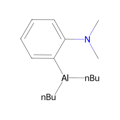 CCC[CH2][Al]([CH2]CCC)[c]1ccccc1N(C)C